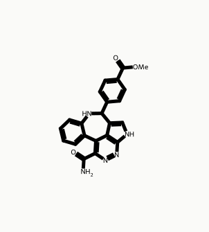 COC(=O)c1ccc(C2Nc3ccccc3-c3c(C(N)=O)nnc4[nH]cc2c34)cc1